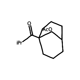 CC(=O)OC1C2CCCC1(C(=O)C(C)C)CCC2